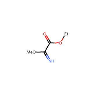 CCOC(=O)C(=N)OC